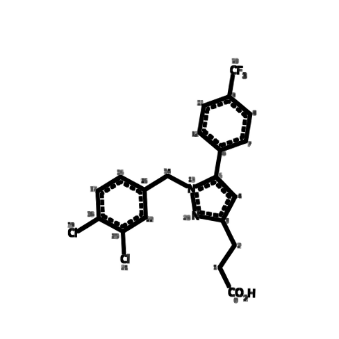 O=C(O)CCc1cc(-c2ccc(C(F)(F)F)cc2)n(Cc2ccc(Cl)c(Cl)c2)n1